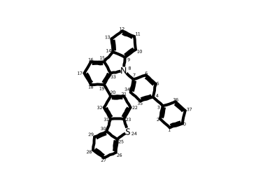 c1ccc(-c2ccc(-n3c4ccccc4c4cccc(-c5ccc6sc7ccccc7c6c5)c43)cc2)cc1